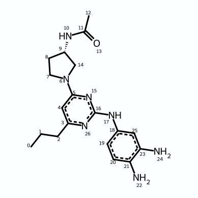 CCCc1cc(N2CC[C@H](NC(C)=O)C2)nc(Nc2ccc(N)c(N)c2)n1